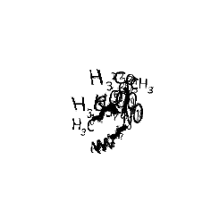 CCC[C@@H](C)C(=O)C[C@H]1N(CCCCN=[N+]=[N-])C(=O)O[C@]1(C)[C@@H](CC)OC(C)=O